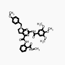 CNC(=O)c1ccccc1NC(=O)c1nc(NC(=O)c2cc(OC)c(OC)c(OC)c2)nc2c1CCN2Cc1ccc(OC)cc1